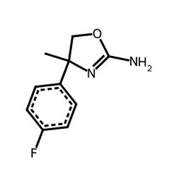 CC1(c2ccc(F)cc2)COC(N)=N1